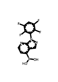 OB(O)c1ccnc2c1cnn2-c1c(F)c(F)cc(F)c1F